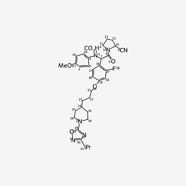 COc1ccc(N(C(=O)O)C(C(=O)N2CCCC2C#N)c2ccc(OCCCC3CCN(c4nc(C(C)C)no4)CC3)cc2F)cc1